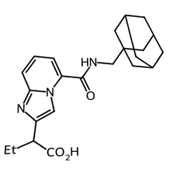 CCC(C(=O)O)c1cn2c(C(=O)NCC34CC5CC(CC(C5)C3)C4)cccc2n1